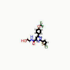 O=C(NCCO)c1cc(-c2ccc(OC(F)F)cc2)nc(-c2ccc(Cl)s2)n1